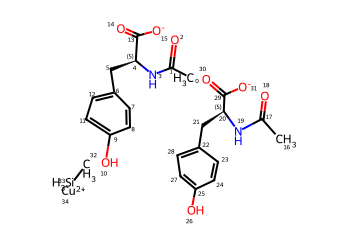 CC(=O)N[C@@H](Cc1ccc(O)cc1)C(=O)[O-].CC(=O)N[C@@H](Cc1ccc(O)cc1)C(=O)[O-].C[SiH3].[Cu+2]